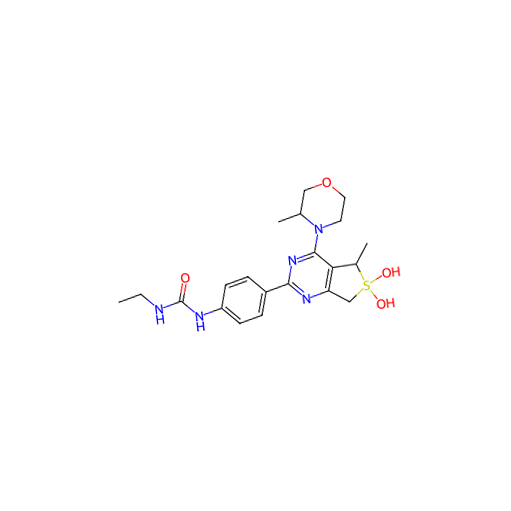 CCNC(=O)Nc1ccc(-c2nc3c(c(N4CCOCC4C)n2)C(C)S(O)(O)C3)cc1